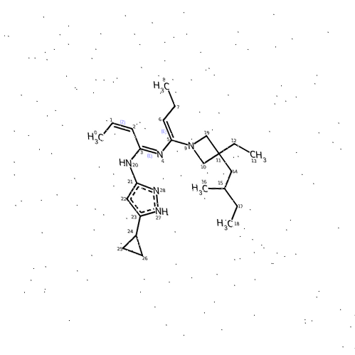 C\C=C/C(=N\C(=C\CC)N1CC(CC)(CC(C)CC)C1)Nc1cc(C2CC2)[nH]n1